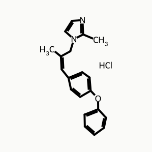 CC(=Cc1ccc(Oc2ccccc2)cc1)Cn1ccnc1C.Cl